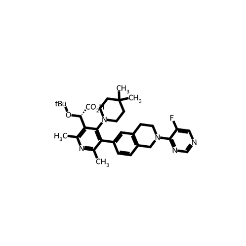 Cc1nc(C)c([C@H](OC(C)(C)C)C(=O)O)c(N2CCC(C)(C)CC2)c1-c1ccc2c(c1)CCN(c1ncncc1F)C2